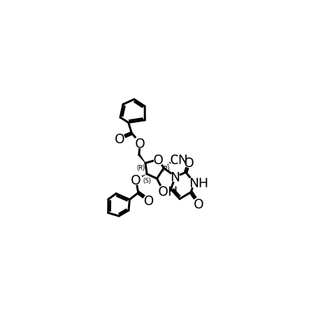 N#C[C@@]1(n2ccc(=O)[nH]c2=O)O[C@H](COC(=O)c2ccccc2)[C@@H](OC(=O)c2ccccc2)C1O